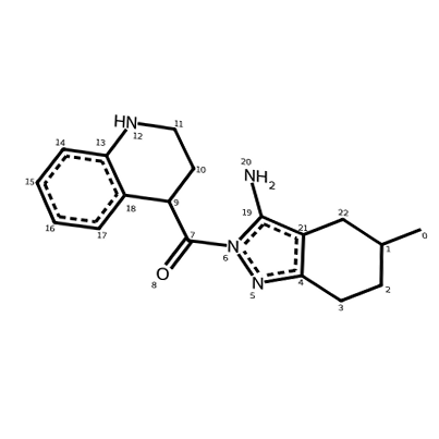 CC1CCc2nn(C(=O)C3CCNc4ccccc43)c(N)c2C1